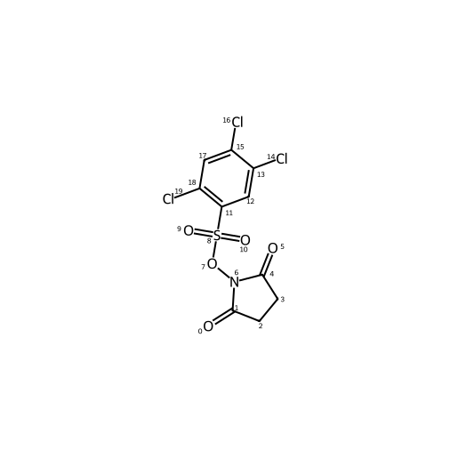 O=C1CCC(=O)N1OS(=O)(=O)c1cc(Cl)c(Cl)cc1Cl